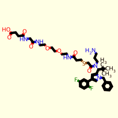 CC(C)(C)[C@H](c1cc(-c2cc(F)ccc2F)cn1Cc1ccccc1)N(CCCN)C(=O)CSCCC(=O)NCCOCCOCCNC(=O)CNC(=O)CCC(=O)O